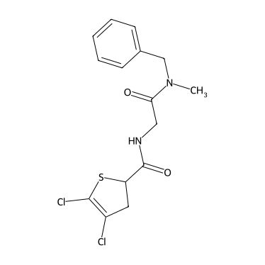 CN(Cc1ccccc1)C(=O)CNC(=O)C1CC(Cl)=C(Cl)S1